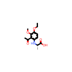 CCOc1ccc(N[C@@H](C)C(=O)O)c(C(C)=O)c1OC